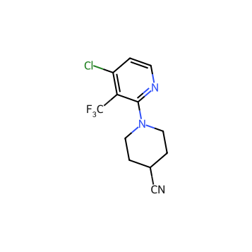 N#CC1CCN(c2nccc(Cl)c2C(F)(F)F)CC1